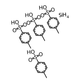 Cc1ccc(S(=O)(=O)O)cc1.Cc1ccc(S(=O)(=O)O)cc1.Cc1ccc(S(=O)(=O)O)cc1.Cc1ccc(S(=O)(=O)O)cc1.[SiH4]